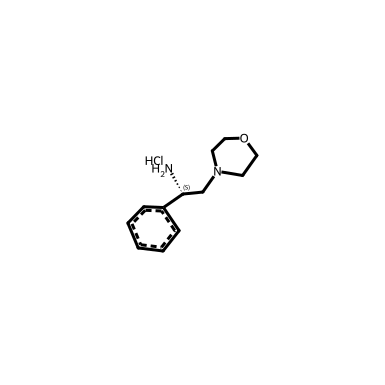 Cl.N[C@H](CN1CCOCC1)c1ccccc1